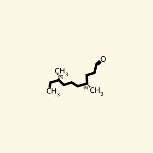 CC[C@H](C)CCC[C@@H](C)CCC=O